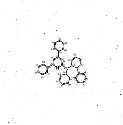 C1=CC2c3ccccc3C3C=CC=CC3N(c3nc(-c4ccccc4)cc(-c4ccccc4)n3)C2C=C1